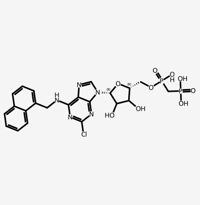 O=P(O)(O)CP(=O)(O)OC[C@H]1O[C@@H](n2cnc3c(NCc4cccc5ccccc45)nc(Cl)nc32)C(O)C1O